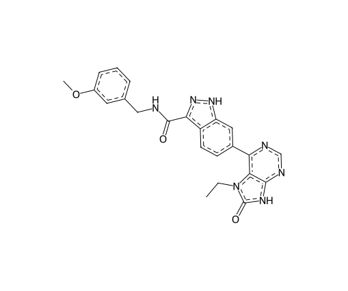 CCn1c(=O)[nH]c2ncnc(-c3ccc4c(C(=O)NCc5cccc(OC)c5)n[nH]c4c3)c21